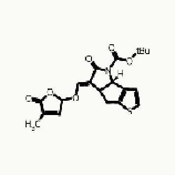 CC1=CC(O/C=C2/C(=O)N(C(=O)OC(C)(C)C)[C@@H]3c4ccsc4CC23)OC1=O